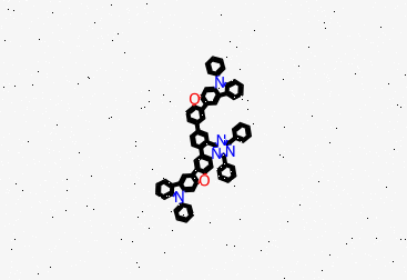 c1ccc(-c2nc(-c3ccccc3)nc(-c3cc(-c4ccc5oc6cc7c(cc6c5c4)c4ccccc4n7-c4ccccc4)ccc3-c3ccc4oc5cc6c(cc5c4c3)c3ccccc3n6-c3ccccc3)n2)cc1